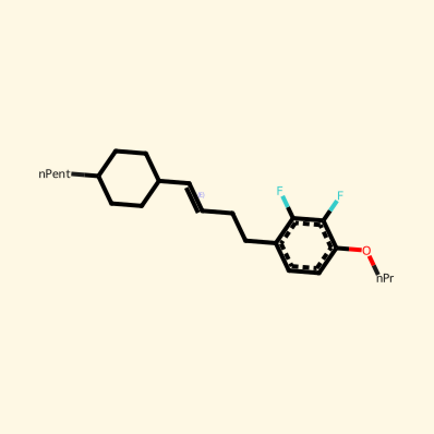 CCCCCC1CCC(/C=C/CCc2ccc(OCCC)c(F)c2F)CC1